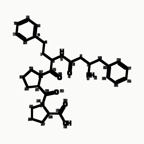 NC(CC(=O)NC(CCc1ccccc1)C(=O)N1CCCC1C(=O)N1CCCC1C(=O)O)Cc1ccccc1